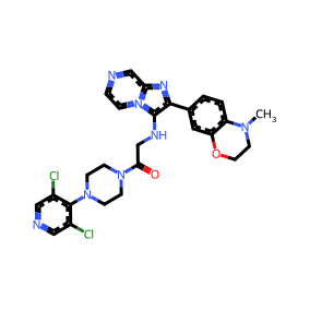 CN1CCOc2cc(-c3nc4cnccn4c3NCC(=O)N3CCN(c4c(Cl)cncc4Cl)CC3)ccc21